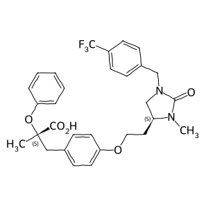 CN1C(=O)N(Cc2ccc(C(F)(F)F)cc2)C[C@@H]1CCOc1ccc(C[C@](C)(Oc2ccccc2)C(=O)O)cc1